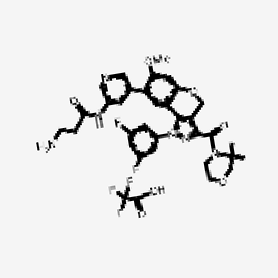 COc1cc2c(cc1-c1cncc(NC(=O)CCN)c1)-c1c(c(C(=O)N3CCOCC3(C)C)nn1-c1cc(F)cc(F)c1)CO2.O=C(O)C(F)(F)F